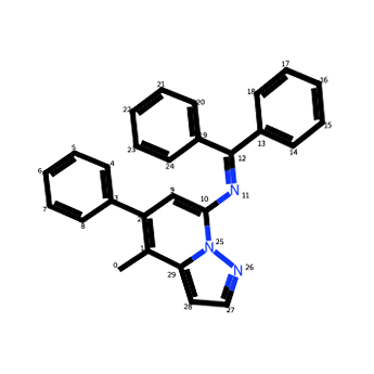 Cc1c(-c2ccccc2)cc(N=C(c2ccccc2)c2ccccc2)n2nccc12